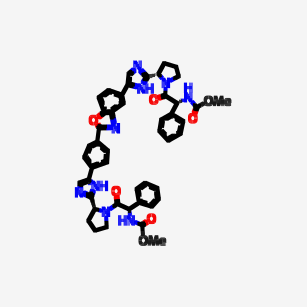 COC(=O)N[C@@H](C(=O)N1CCC[C@H]1c1ncc(-c2ccc(-c3nc4cc(-c5cnc([C@@H]6CCCN6C(=O)[C@H](NC(=O)OC)c6ccccc6)[nH]5)ccc4o3)cc2)[nH]1)c1ccccc1